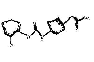 O=C(O)Cc1ccc(NC(=O)Nc2ccccc2Cl)cc1